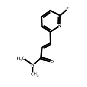 CN(C)C(=O)C=Cc1cccc(F)n1